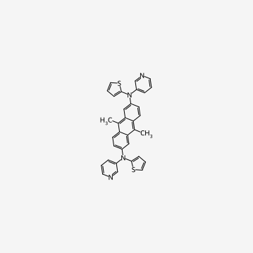 Cc1c2ccc(N(c3cccnc3)c3cccs3)cc2c(C)c2ccc(N(c3cccnc3)c3cccs3)cc12